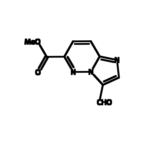 COC(=O)c1ccc2ncc(C=O)n2n1